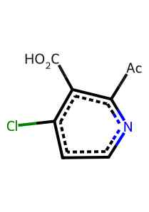 CC(=O)c1nccc(Cl)c1C(=O)O